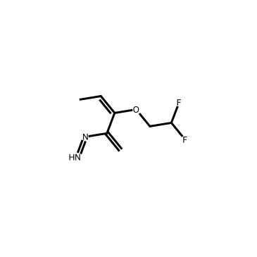 C=C(N=N)/C(=C\C)OCC(F)F